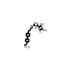 N=C(NCCCCc1ccc(-c2ccc(CCC(=O)O)cc2)cc1)NC(=O)c1nc(Cl)c(N)nc1N